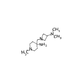 CN1CCC(N)(CN2CC(N(C)C)C2)CC1